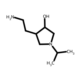 CC(C)N1CC(O)C(CCN)C1